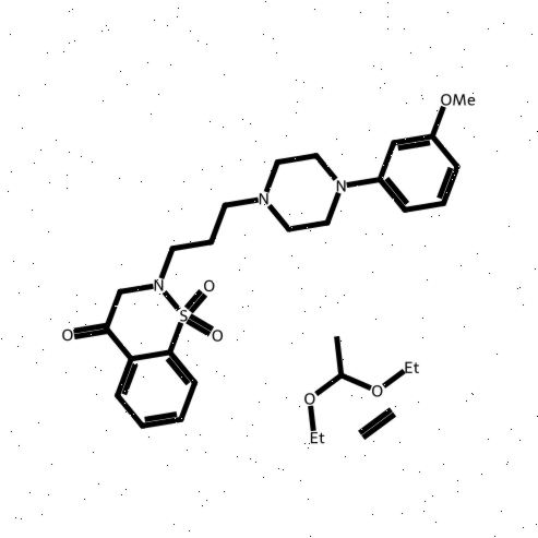 C=C.CCOC(C)OCC.COc1cccc(N2CCN(CCCN3CC(=O)c4ccccc4S3(=O)=O)CC2)c1